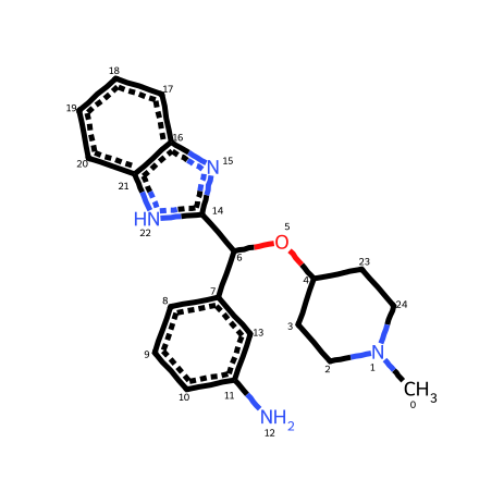 CN1CCC(OC(c2cccc(N)c2)c2nc3ccccc3[nH]2)CC1